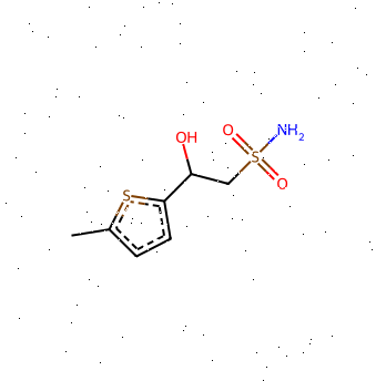 Cc1ccc(C(O)CS(N)(=O)=O)s1